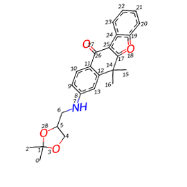 CC1(C)OCC(CNc2ccc3c(c2)C(C)(C)c2oc4ccccc4c2C3=O)O1